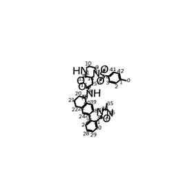 Cc1ccc(S(=O)(=O)N2CCNC(=O)C2CC(=O)N[C@@H]2CCCc3cc(-c4ccccc4-c4nc(C)no4)ccc32)cc1